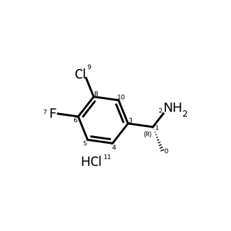 C[C@@H](N)c1ccc(F)c(Cl)c1.Cl